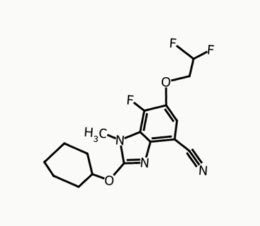 Cn1c(OC2CCCCC2)nc2c(C#N)cc(OCC(F)F)c(F)c21